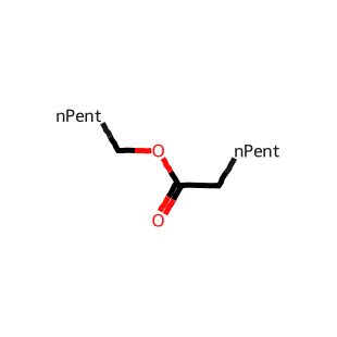 [CH]CCCCCC(=O)OCCCCCC